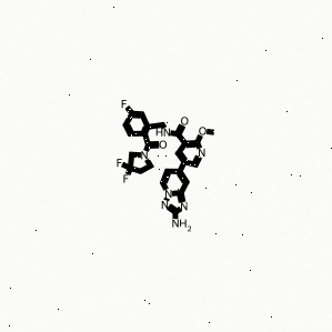 COc1ncc(-c2ccn3nc(N)nc3c2)cc1C(=O)NCc1cc(F)ccc1C(=O)N1CCC(F)(F)C1